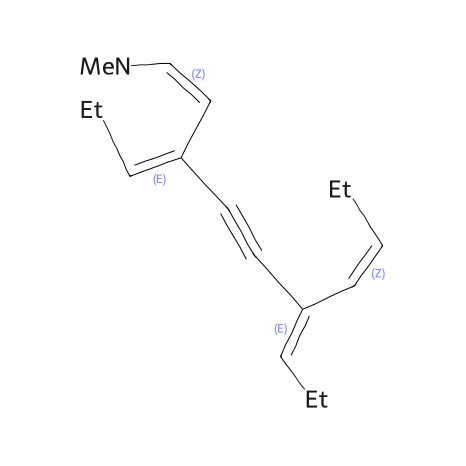 CC/C=C\C(C#CC(/C=C\NC)=C/CC)=C/CC